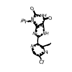 Cc1nc(Cl)cnc1-c1nc2c([nH]1)c(=O)[nH]c(=O)n2C(C)C